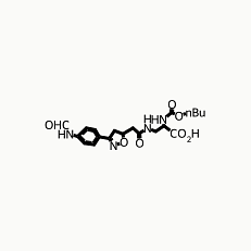 CCCCOC(=O)NC(CNC(=O)CC1CC(c2ccc(NC=O)cc2)=NO1)C(=O)O